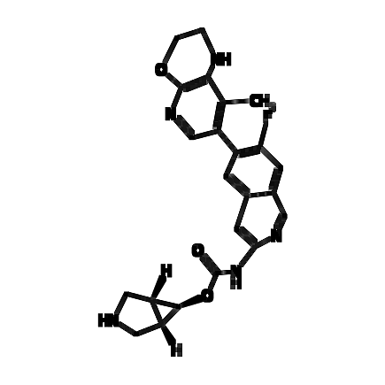 Cc1c(-c2cc3cc(NC(=O)O[C@H]4[C@@H]5CNC[C@@H]54)ncc3cc2F)cnc2c1NCCO2